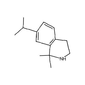 CC(C)c1ccc2c(c1)C(C)(C)NCC2